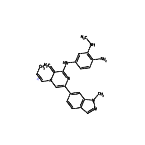 C=C1C(Nc2ccc(N)c(NC)c2)=NC(c2ccc3cnn(C)c3c2)=CN1/C=C\C